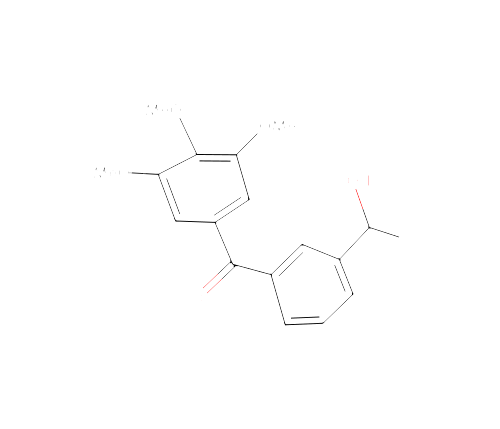 [CH2]C(O)c1cccc(C(=O)c2cc(OC)c(OC)c(OC)c2)c1